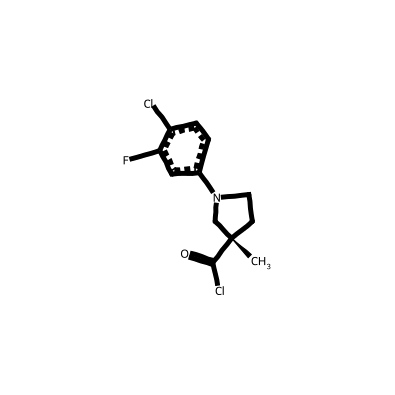 C[C@]1(C(=O)Cl)CCN(c2ccc(Cl)c(F)c2)C1